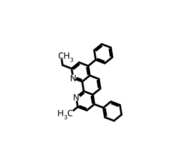 CCc1cc(-c2ccccc2)c2ccc3c(C4=CCCC=C4)cc(C)nc3c2n1